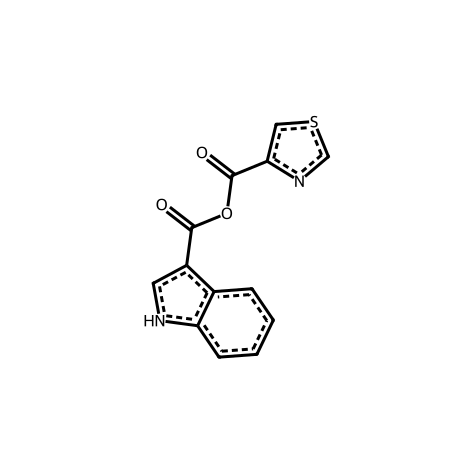 O=C(OC(=O)c1c[nH]c2ccccc12)c1cscn1